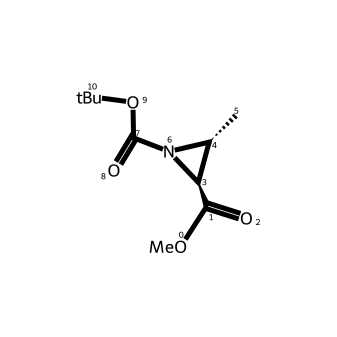 COC(=O)[C@@H]1[C@@H](C)N1C(=O)OC(C)(C)C